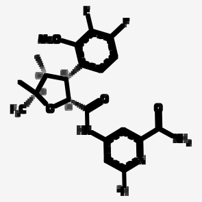 [2H]c1cc(NC(=O)[C@@H]2O[C@](C)(C(F)(F)F)[C@H](C)[C@@H]2c2ccc(F)c(F)c2OC)cc(C(N)=O)n1